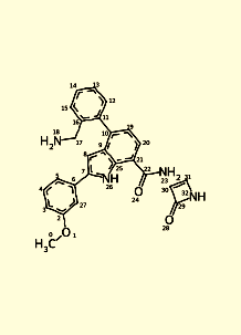 COc1cccc(-c2cc3c(-c4ccccc4CN)ccc(C(N)=O)c3[nH]2)c1.O=C1C=CN1